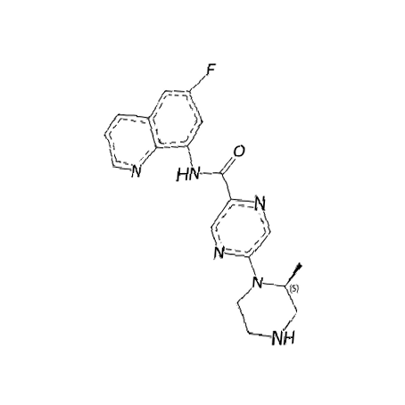 C[C@H]1CNCCN1c1cnc(C(=O)Nc2cc(F)cc3cccnc23)cn1